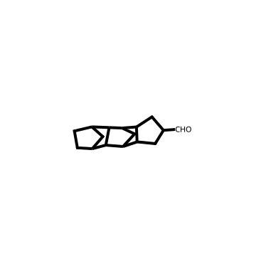 O=CC1CC2C(C1)C1CC2C2C3CCC(C3)C12